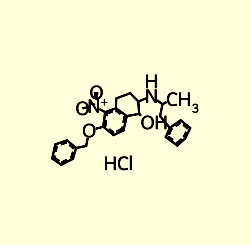 CC(Cc1ccccc1)NC1CCc2c(ccc(OCc3ccccc3)c2[N+](=O)[O-])C1O.Cl